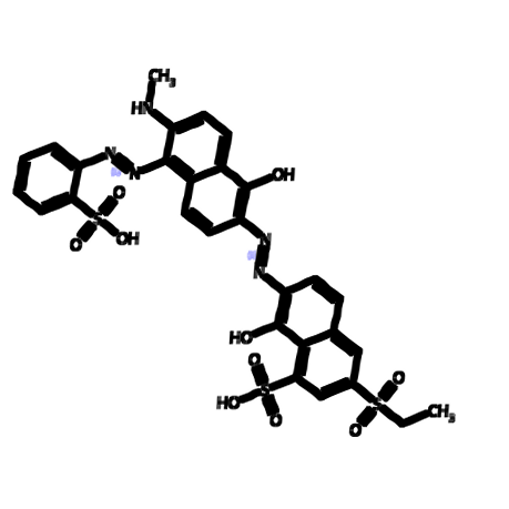 CCS(=O)(=O)c1cc(S(=O)(=O)O)c2c(O)c(/N=N/c3ccc4c(/N=N/c5ccccc5S(=O)(=O)O)c(NC)ccc4c3O)ccc2c1